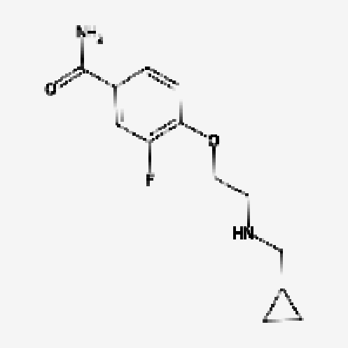 NC(=O)c1ccc(OCCNCC2CC2)c(F)c1